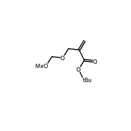 C=C(COCOC)C(=O)OC(C)(C)C